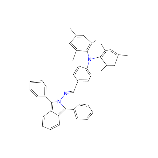 Cc1cc(C)c(N(c2ccc(C=Nn3c(-c4ccccc4)c4ccccc4c3-c3ccccc3)cc2)c2c(C)cc(C)cc2C)c(C)c1